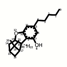 CCCCCc1cc(O)c2c(c1)OC1CC3CC([C@H]21)C3(C)C